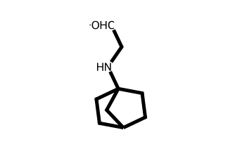 O=[C]CNC12CCC(CC1)C2